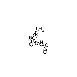 COCc1cc(-c2nnc3c4ccccc4c(OCc4ccc(C(=O)N5CCOCC5)cn4)nn23)no1